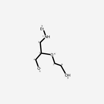 CCNCC(C[O])OCCO